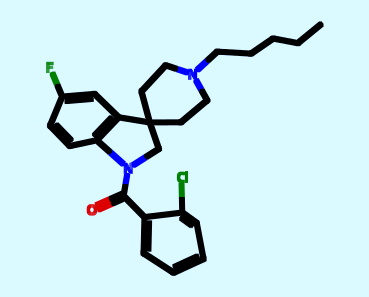 CCCCCN1CCC2(CC1)CN(C(=O)c1ccccc1Cl)c1ccc(F)cc12